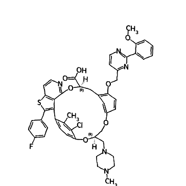 COc1ccccc1-c1nccc(COc2ccc3cc2C[C@H](C(=O)O)Oc2nccc4sc(-c5ccc(F)cc5)c(c24)-c2ccc(c(Cl)c2C)O[C@H](CN2CCN(C)CC2)CO3)n1